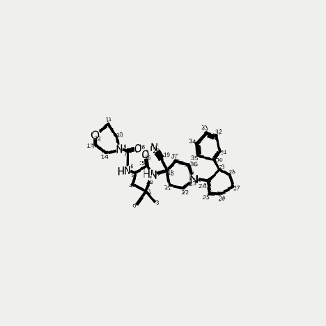 CC(C)(C)CC(NC(=O)N1CCOCC1)C(=O)NC1(C#N)CCN(C2CCCCC2c2ccccc2)CC1